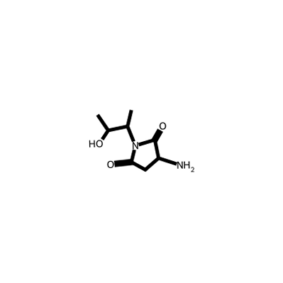 CC(O)C(C)N1C(=O)CC(N)C1=O